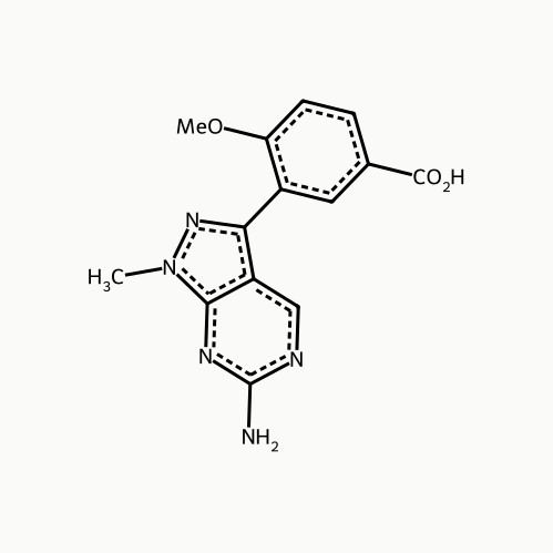 COc1ccc(C(=O)O)cc1-c1nn(C)c2nc(N)ncc12